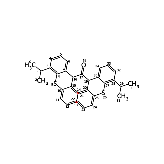 CC(C)c1cccc2c1Sc1ccccc1C2C(=O)C1c2ccccc2Sc2c(C(C)C)cccc21